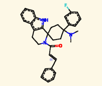 CN(C)C1(c2cccc(F)c2)CCC2(CC1)c1[nH]c3ccccc3c1CCN2C(=O)/C=C/c1ccccc1